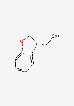 COC[C@H]1COc2ccccc21